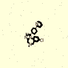 CN1Cc2cc(Cl)ccc2-n2c(nnc2[C@H]2CC[C@H](c3ccccn3)CC2)C1